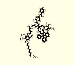 CCCCCCCCCCCCCCCCCCOc1cc(COC(=O)CCC(=O)OCC2CN(P(C)(=O)OCC3CN(C(c4ccccc4)(c4ccccc4)c4ccccc4)CC(n4cc(C)c(=O)[nH]c4=O)O3)CC(n3ccc(NC(=O)c4ccccc4)nc3=O)O2)cc(C)c1C